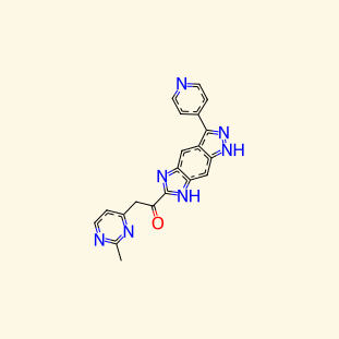 Cc1nccc(CC(=O)c2nc3cc4c(-c5ccncc5)n[nH]c4cc3[nH]2)n1